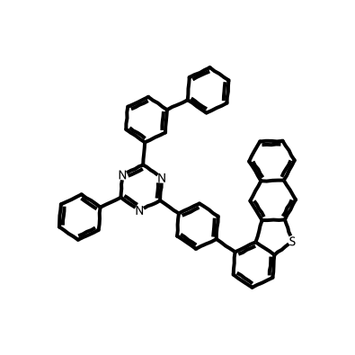 c1ccc(-c2cccc(-c3nc(-c4ccccc4)nc(-c4ccc(-c5cccc6sc7cc8ccccc8cc7c56)cc4)n3)c2)cc1